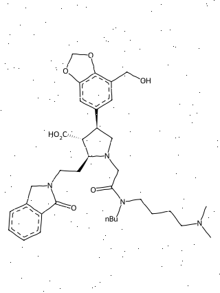 CCCCN(CCCCN(C)C)C(=O)CN1C[C@H](c2cc(CO)c3c(c2)OCO3)[C@@H](C(=O)O)[C@@H]1CCN1Cc2ccccc2C1=O